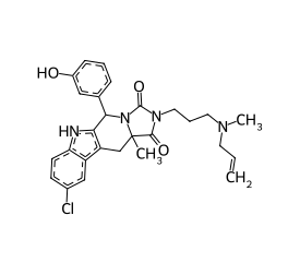 C=CCN(C)CCCN1C(=O)N2C(c3cccc(O)c3)c3[nH]c4ccc(Cl)cc4c3CC2(C)C1=O